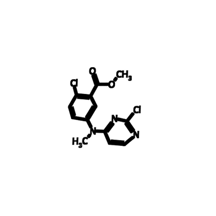 COC(=O)c1cc(N(C)c2ccnc(Cl)n2)ccc1Cl